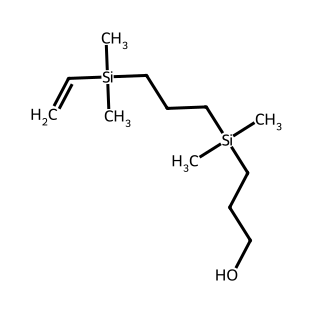 C=C[Si](C)(C)CCC[Si](C)(C)CCCO